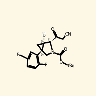 CC(C)(C)OC(=O)N1C[C@]2(c3cc(F)ccc3F)C[C@H]2[C@@H]1C(=O)CC#N